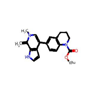 C=C1c2[nH]ccc2C(c2ccc3c(c2)CCCN3C(=O)OC(C)(C)C)=CN1C